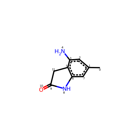 Cc1cc(N)c2c(c1)NC(=O)C2